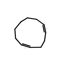 [CH]1CC/C=C\CC/C=C\CC1